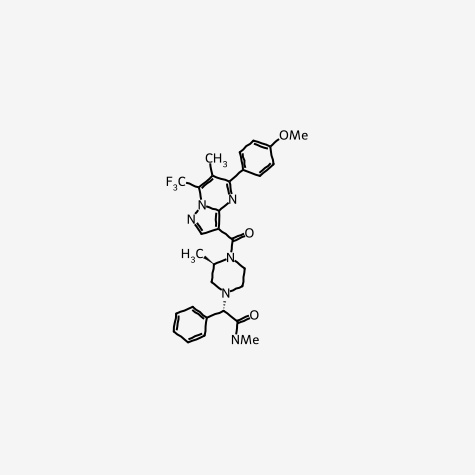 CNC(=O)[C@H](c1ccccc1)N1CCN(C(=O)c2cnn3c(C(F)(F)F)c(C)c(-c4ccc(OC)cc4)nc23)[C@H](C)C1